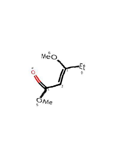 CC/C(=C/C(=O)OC)OC